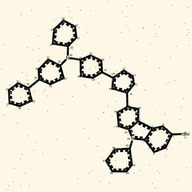 CC(C)(C)c1ccc2c(c1)c1cc(-c3cccc(-c4ccc(N(c5ccccc5)c5ccc(-c6ccccc6)cc5)cc4)c3)ccc1n2-c1ccccc1